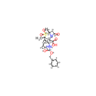 C=CC(NC(=O)OCc1ccccc1)[C@@]1(C(=O)O)N2C(=O)C[C@H]2S(=O)(=O)C1(C)C